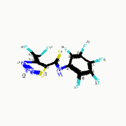 Fc1c(F)c(F)c(NC(=S)c2snnc2C(F)F)c(F)c1F